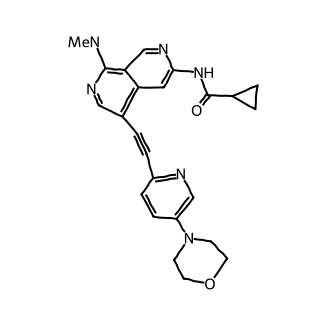 CNc1ncc(C#Cc2ccc(N3CCOCC3)cn2)c2cc(NC(=O)C3CC3)ncc12